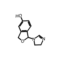 Oc1ccc2c(c1)COC2N1C=NCC1